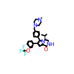 CC(C)[C@H]1CNC(=O)c2cc(-c3cccc(OC(F)(F)F)c3)c(-c3ccc(CN4CCN(C)CC4)cc3)n21